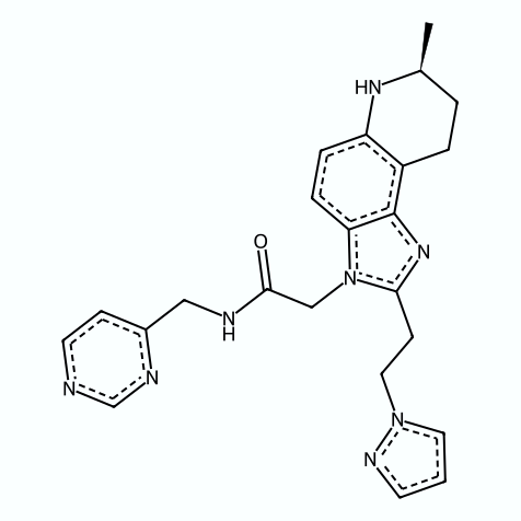 C[C@H]1CCc2c(ccc3c2nc(CCn2cccn2)n3CC(=O)NCc2ccncn2)N1